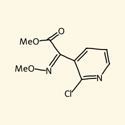 CON=C(C(=O)OC)c1cccnc1Cl